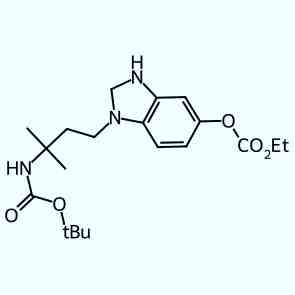 CCOC(=O)Oc1ccc2c(c1)NCN2CCC(C)(C)NC(=O)OC(C)(C)C